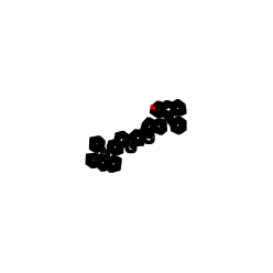 c1ccc(N(c2ccc3c(ccc4c5cc6c(cc5oc34)oc3c4ccc(N(c5ccccc5)c5c7ccccc7cc7ccccc57)cc4ccc63)c2)c2c3ccccc3cc3ccccc23)cc1